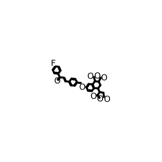 O=C1CC(C2CC3C(=O)OC(=O)C3c3cc(OCc4ccc(/C=C/C(=O)c5ccc(F)cc5)cc4)ccc32)C(=O)O1